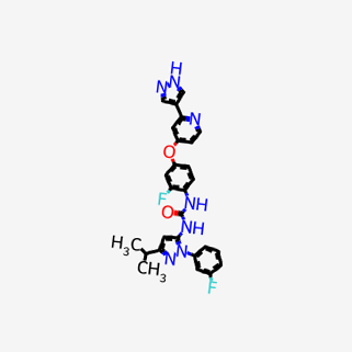 CC(C)c1cc(NC(=O)Nc2ccc(Oc3ccnc(-c4cn[nH]c4)c3)cc2F)n(-c2cccc(F)c2)n1